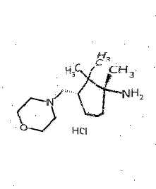 CC1(C)[C@@H](CN2CCOCC2)CC[C@@]1(C)N.Cl